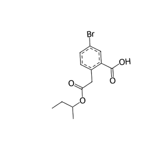 CCC(C)OC(=O)Cc1ccc(Br)cc1C(=O)O